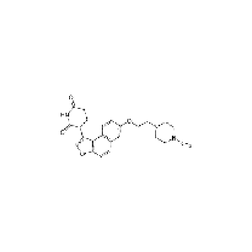 CN1CCN(CCOc2ccc3c(ccc4onc(C5CCC(=O)NC5=O)c43)c2)CC1